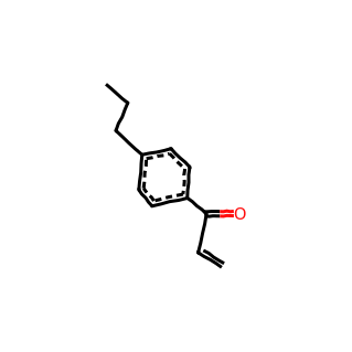 C=CC(=O)c1ccc(CCC)cc1